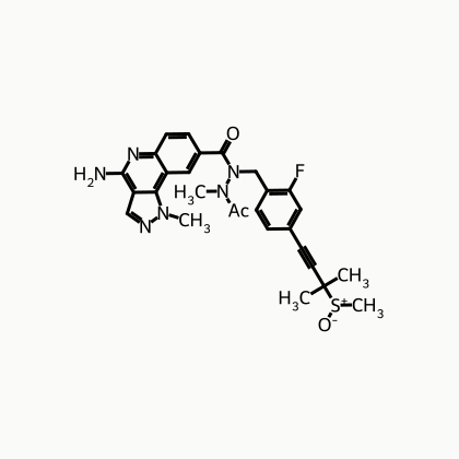 CC(=O)N(C)N(Cc1ccc(C#CC(C)(C)[S+](C)[O-])cc1F)C(=O)c1ccc2nc(N)c3cnn(C)c3c2c1